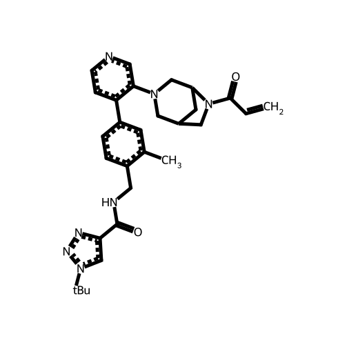 C=CC(=O)N1CC2CC1CN(c1cnccc1-c1ccc(CNC(=O)c3cn(C(C)(C)C)nn3)c(C)c1)C2